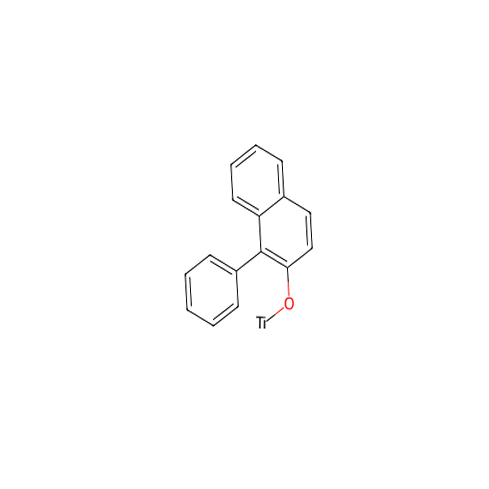 [Ti][O]c1ccc2ccccc2c1-c1ccccc1